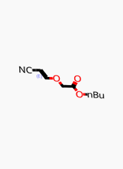 CCCCOC(=O)CO/C=C/C#N